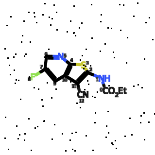 CCOC(=O)Nc1sc2ncc(F)cc2c1C#N